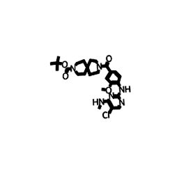 CNc1nc(Nc2ccc(C(=O)N3CCC4(CCN(C(=O)OC(C)(C)C)CC4)CC3)cc2OC)ncc1Cl